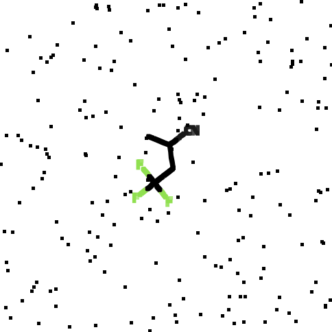 CC(C#N)CC(F)(F)F